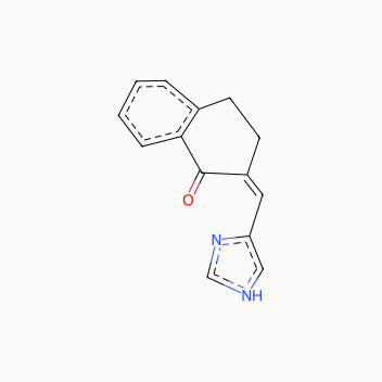 O=C1/C(=C\c2c[nH]cn2)CCc2ccccc21